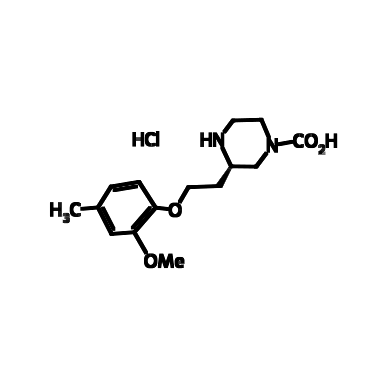 COc1cc(C)ccc1OCC[C@@H]1CN(C(=O)O)CCN1.Cl